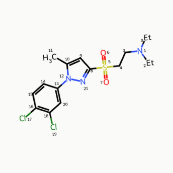 CCN(CC)CCS(=O)(=O)c1cc(C)n(-c2ccc(Cl)c(Cl)c2)n1